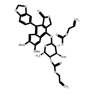 C=CCOC(=O)O[C@H]1[C@H](OC(C)=O)[C@@H](OC(=O)OCC=C)C(Oc2c3c(c(-c4ccc5c(c4)OCO5)c4cc(OC)c(OC)cc24)C(=O)OC3)O[C@@H]1C